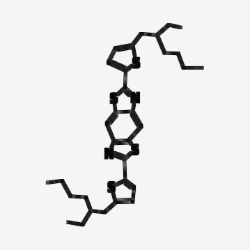 CCCCC(CC)Cc1ccc(-c2nc3cc4sc(-c5ccc(CC(CC)CCCC)s5)nc4cc3s2)s1